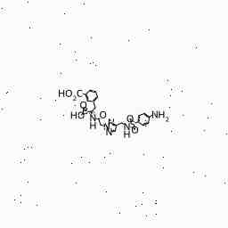 Nc1ccc(S(=O)(=O)NCc2cnn(CC(=O)N[C@H]3Cc4cccc(C(=O)O)c4OB3O)n2)cc1